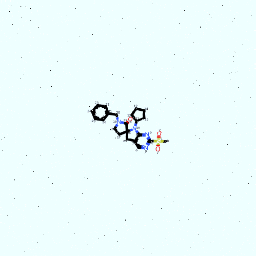 CS(=O)(=O)c1ncc2c(n1)N(C1CCCC1)C1(CCN(Cc3ccccc3)C1=O)C2